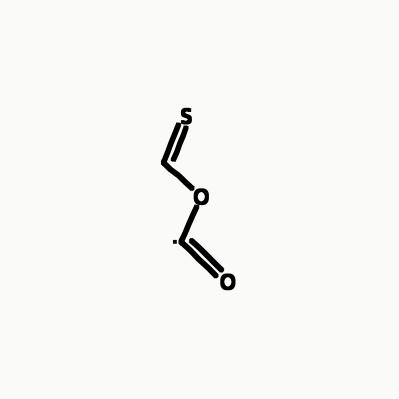 O=[C]OC=S